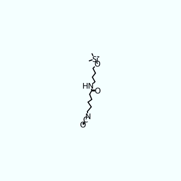 C[Si](C)(C)OCCCCNC(=O)CCCCCN=C=O